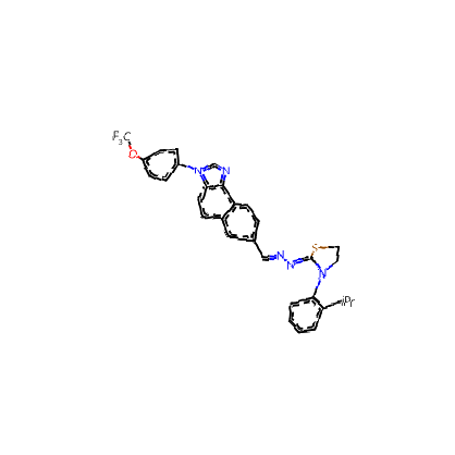 CC(C)c1ccccc1N1CCS/C1=N\N=C\c1ccc2c(ccc3c2ncn3-c2ccc(OC(F)(F)F)cc2)c1